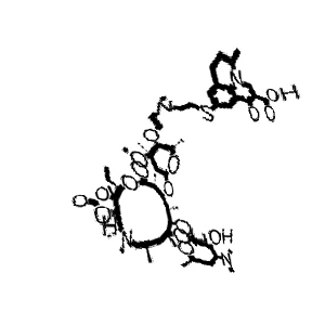 CC[C@H]1OC(=O)[C@H](C)[C@@H](OC2C[C@@](C)(OC)[C@@H](OCCN(C)CCSc3cc4c5c(c3)c(=O)c(C(=O)O)cn5C(C)CC4)[C@H](C)O2)[C@H](C)[C@@H](O[C@@H]2O[C@H](C)C[C@H](N(C)C)[C@H]2O)[C@](C)(O)C[C@@H](C)CN(C)[C@H](C)[C@@H]2OC(=O)O[C@]12C